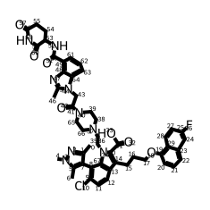 Cc1nn(C)c(C)c1-c1c(Cl)ccc2c(CCCOc3cccc4cc(F)ccc34)c(C(=O)O)n(CCN3CCN(C(=O)Cn4c(C)nc5c(C(=O)NC6CCC(=O)NC6=O)cccc54)CC3)c12